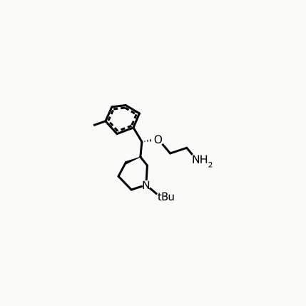 Cc1cccc([C@H](OCCN)[C@@H]2CCCN(C(C)(C)C)C2)c1